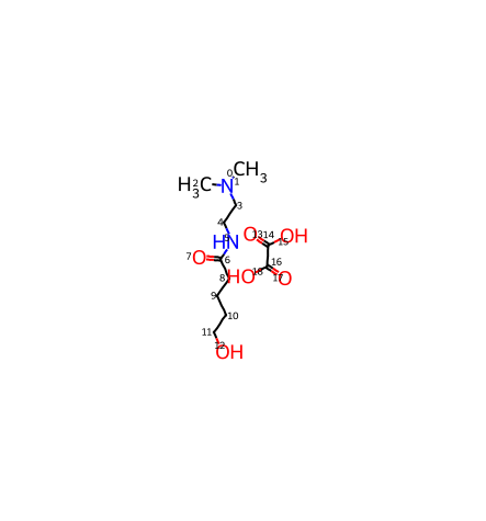 CN(C)CCNC(=O)CCCCO.O=C(O)C(=O)O